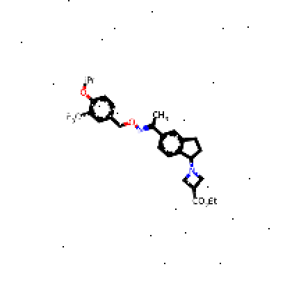 CCOC(=O)C1CN(C2CCc3cc(/C(C)=N/OCc4ccc(OC(C)C)c(C(F)(F)F)c4)ccc32)C1